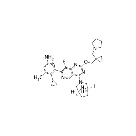 Cc1cc(N)nc(-c2ncc3c(N4C[C@H]5CC[C@@H](C4)N5)nc(OCC4(CN5CCCC5)CC4)nc3c2F)c1C1CC1